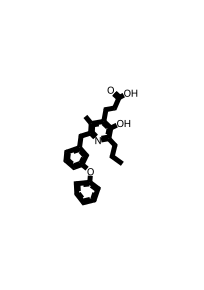 CCCc1nc(Cc2cccc(Oc3ccccc3)c2)c(C)c(CCC(=O)O)c1O